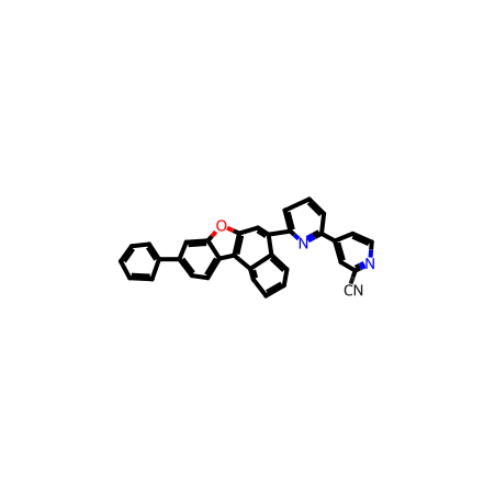 N#Cc1cc(-c2cccc(-c3cc4oc5cc(-c6ccccc6)ccc5c4c4ccccc34)n2)ccn1